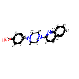 Oc1ccc(N2CCN(c3ccc4ccccc4n3)CC2)cc1